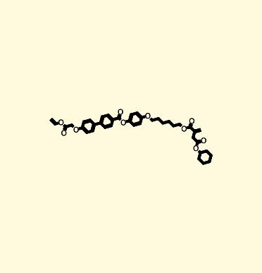 C=COC(=O)COc1ccc(-c2ccc(C(=O)Oc3ccc(OCCCCCCOC(=O)C(=C)CC(=O)OC4CCCCC4)cc3)cc2)cc1